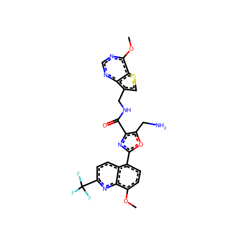 COc1ccc(-c2nc(C(=O)NCc3csc4c(OC)ncnc34)c(CN)o2)c2ccc(C(F)(F)F)nc12